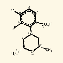 C[C@@H]1CN(c2c(C(=O)O)ccc(F)c2F)C[C@H](C)O1